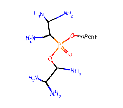 CCCCCOP(=O)(OC(N)C(N)N)C(N)C(N)N